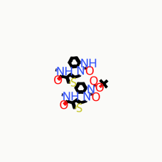 CNC(=O)c1csc(Cn2c(=O)[nH]c3ccccc32)c1.CNC(=O)c1csc(Cn2c(=O)n(C(=O)OC(C)(C)C)c3ccccc32)c1